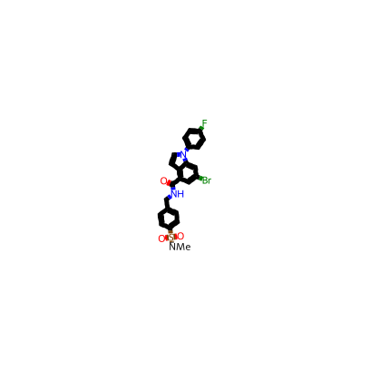 CNS(=O)(=O)c1ccc(CNC(=O)c2cc(Br)cc3c2ccn3-c2ccc(F)cc2)cc1